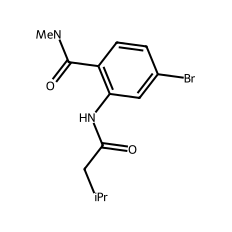 CNC(=O)c1ccc(Br)cc1NC(=O)CC(C)C